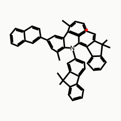 Cc1ccccc1-c1cc(-c2ccc3ccccc3c2)cc(C)c1N(c1ccc2c(c1)C(C)(C)c1ccccc1-2)c1cccc2c1-c1ccccc1C2(C)C